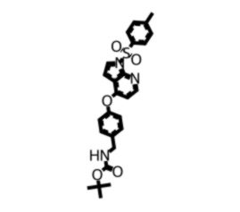 Cc1ccc(S(=O)(=O)n2ccc3c(Oc4ccc(CNC(=O)OC(C)(C)C)cc4)ccnc32)cc1